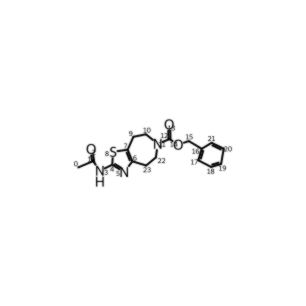 CC(=O)Nc1nc2c(s1)CCN(C(=O)OCc1ccccc1)CC2